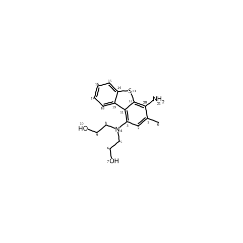 Cc1cc(N(CCO)CCO)c2c(sc3ccccc32)c1N